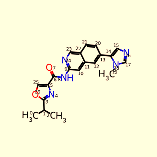 CC(C)c1nc(C(=O)Nc2cc3cc(-c4cncn4C)ccc3cn2)co1